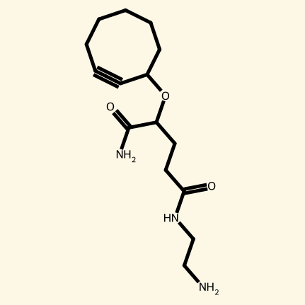 NCCNC(=O)CCC(OC1C#CCCCCC1)C(N)=O